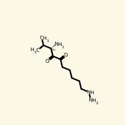 CC(C)[C@H](N)C(=O)C(=O)CCCCCNN